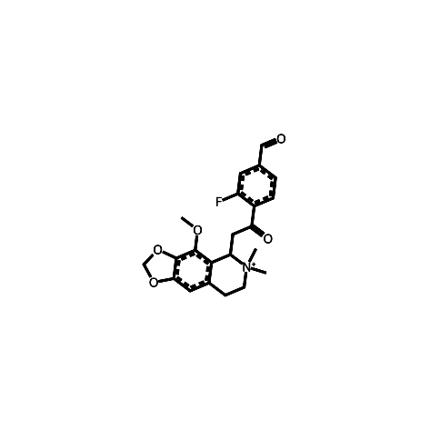 COc1c2c(cc3c1C(CC(=O)c1ccc(C=O)cc1F)[N+](C)(C)CC3)OCO2